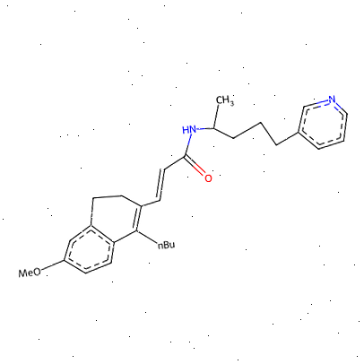 CCCCC1=C(/C=C/C(=O)NC(C)CCCc2cccnc2)CCc2cc(OC)ccc21